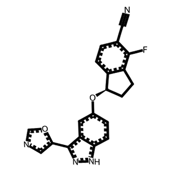 N#Cc1ccc2c(c1F)CC[C@H]2Oc1ccc2[nH]nc(-c3cnco3)c2c1